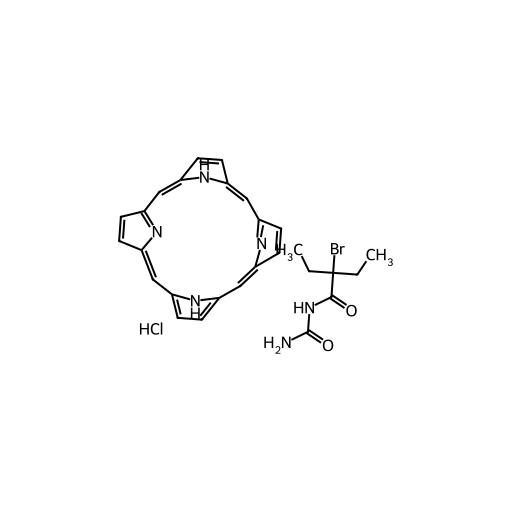 C1=Cc2cc3ccc(cc4nc(cc5ccc(cc1n2)[nH]5)C=C4)[nH]3.CCC(Br)(CC)C(=O)NC(N)=O.Cl